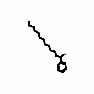 [CH2]C(CCCCCCCCCCCC)c1ccccc1